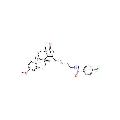 COc1ccc2c(c1)CC[C@H]1[C@@H]3[C@H](CCCCCNC(=O)c4ccc(F)cc4)CC(=O)[C@@]3(C)CC[C@H]21